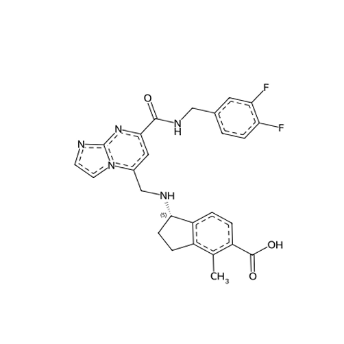 Cc1c(C(=O)O)ccc2c1CC[C@@H]2NCc1cc(C(=O)NCc2ccc(F)c(F)c2)nc2nccn12